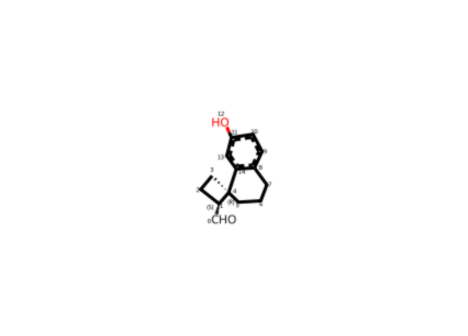 O=C[C@H]1CC[C@]12CCCc1ccc(O)cc12